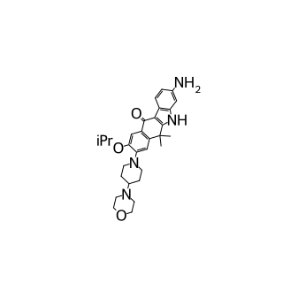 CC(C)Oc1cc2c(cc1N1CCC(N3CCOCC3)CC1)C(C)(C)c1[nH]c3cc(N)ccc3c1C2=O